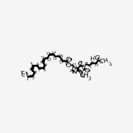 CC/C=C\C/C=C\C/C=C\C/C=C\C/C=C\CCCC(=O)OCn1cnc2c1c(=O)n(CCCC[C@H](C)O)c(=O)n2C